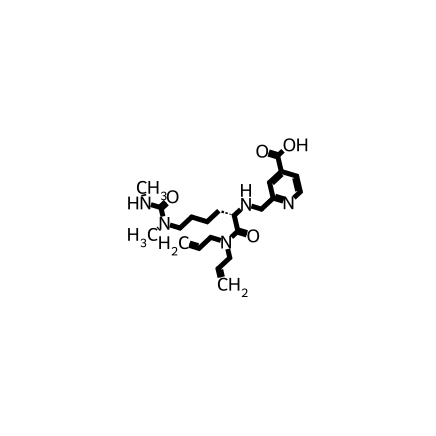 C=CCN(CC=C)C(=O)[C@H](CCCCN(C)C(=O)NC)NCc1cc(C(=O)O)ccn1